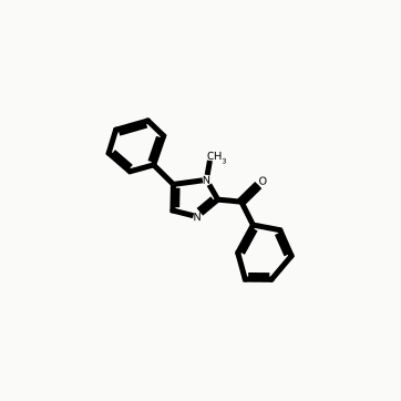 Cn1c(-c2ccccc2)cnc1C(=O)c1ccccc1